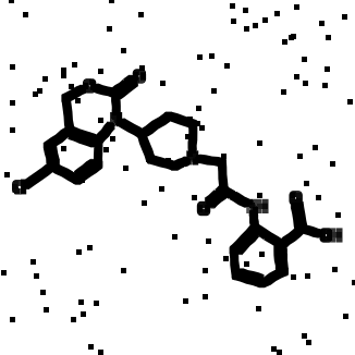 O=C(CN1CCC(N2C(=O)OCc3cc(Cl)ccc32)CC1)Nc1ccccc1C(=O)O